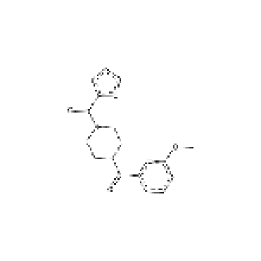 COc1cccc(C(=O)C2CCN(C(=O)c3ccco3)CC2)c1